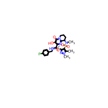 Cc1nn(C)c(C)c1S(=O)(=O)N(C)C1CCCn2c1nc(C(=O)NCc1ccc(F)cc1)c(O)c2=O